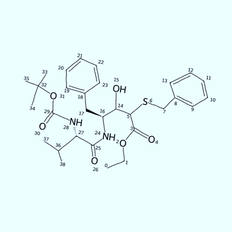 CCOC(=O)C(SCc1ccccc1)C(O)[C@H](Cc1ccccc1)NC(=O)[C@@H](NC(=O)OC(C)(C)C)C(C)C